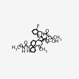 CONC(=O)Nc1ccc(-c2sc3c(c2CN(C)Cc2ccccc2)c(=O)n(CC(C)(C)O)c(=O)n3Cc2c(F)cccc2F)cc1